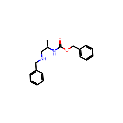 C[C@H](CNCc1ccccc1)NC(=O)OCc1ccccc1